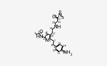 CC(=O)Nc1nc(CCc2ccc(N)cc2)c(CCNCCC(=O)N(C)C)s1